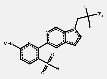 CCS(=O)(=O)c1ccc(NC)nc1-c1cc2ccn(CC(F)(F)C(F)(F)F)c2cn1